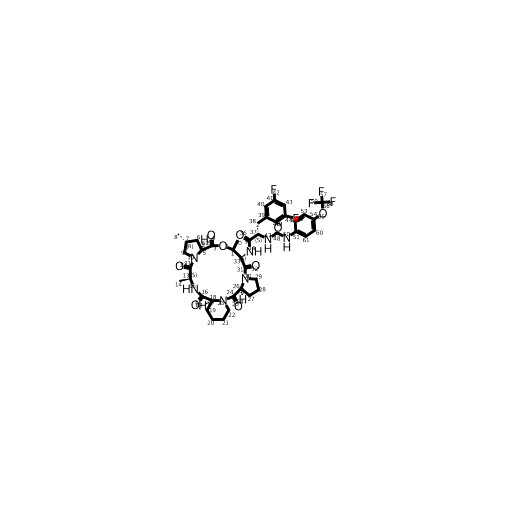 CC1OC(=O)[C@@H]2C[C@@H](C)CN2C(=O)[C@H](C)NC(=O)[C@@H]2CCCCN2C(=O)[C@@H]2CCCN2C(=O)[C@H]1NC(=O)[C@H](Cc1cc(F)cc(F)c1)NC(=O)Nc1ccc(OC(F)(F)F)cc1